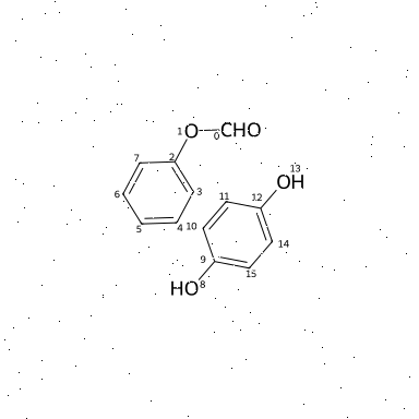 O=COc1ccccc1.Oc1ccc(O)cc1